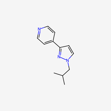 CC(C)Cn1ccc(-c2ccncc2)n1